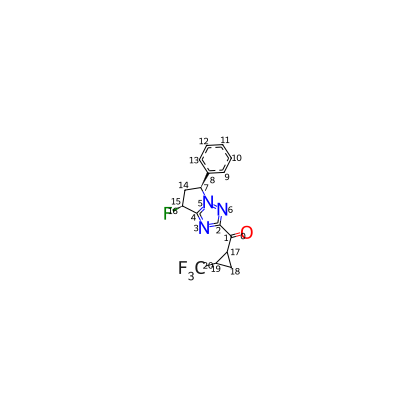 O=C(c1nc2n(n1)[C@H](c1ccccc1)C[C@@H]2F)C1CC1C(F)(F)F